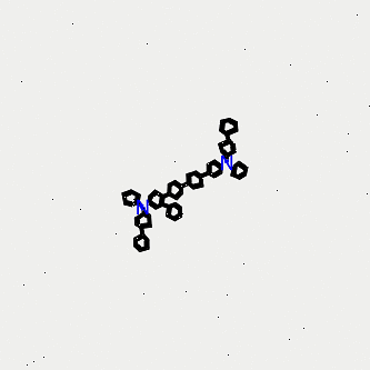 C1=CC(c2ccc(N(c3ccccc3)c3ccc(-c4ccccc4)cc3)cc2-c2ccccc2)CC=C1c1ccc(-c2ccc(N(c3ccccc3)c3ccc(-c4ccccc4)cc3)cc2)cc1